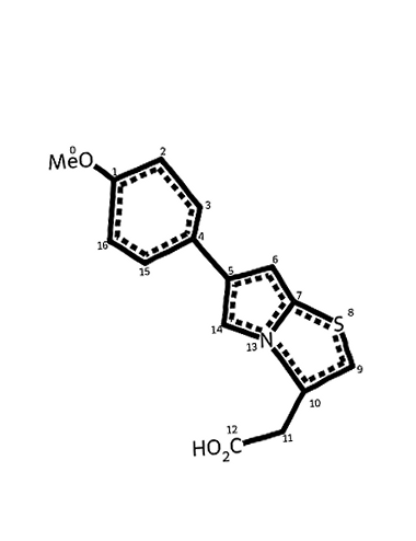 COc1ccc(-c2cc3scc(CC(=O)O)n3c2)cc1